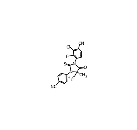 CC1(C)C(=O)N(c2ccc(C#N)c(Cl)c2F)C(=S)N1c1ccc(C#N)cc1